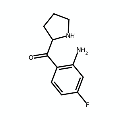 Nc1cc(F)ccc1C(=O)C1CCCN1